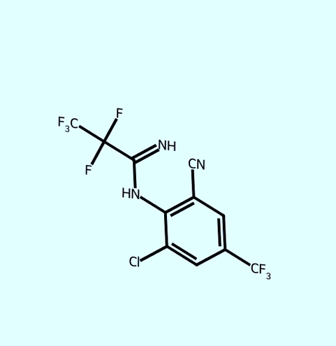 N#Cc1cc(C(F)(F)F)cc(Cl)c1NC(=N)C(F)(F)C(F)(F)F